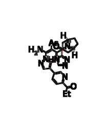 CCC(=O)c1ccc(-c2cnn3c(N)c(C(C)=O)c(C4C[C@H]5CC[C@@H](C4)N5C(=O)c4nnc[nH]4)nc23)cn1